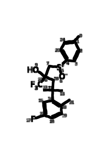 Cc1ccc([S+]([O-])CC(O)(CC(C)(C)c2cc(F)ccc2C)C(F)(F)F)cc1